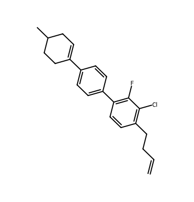 C=CCCc1ccc(-c2ccc(C3=CCC(C)CC3)cc2)c(F)c1Cl